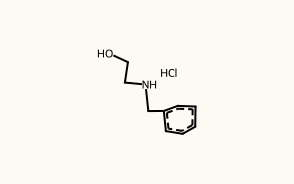 Cl.OCCNCc1ccccc1